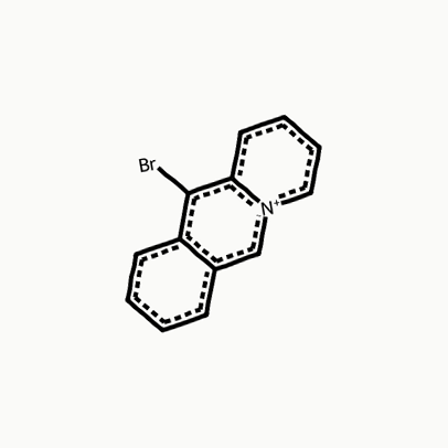 Brc1c2ccccc2c[n+]2ccccc12